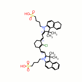 CC1(C)C(/C=C/C2=C(Cl)C(=C/C=C3/N(CCCCS(=O)(=O)O)c4ccc5c(c4C3(C)C)C=CCC5)/CCC2)=[N+](CCCCS(=O)(=O)O)c2ccc3ccccc3c21